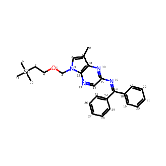 Cc1cn(COCC[Si](C)(C)C)c2ncc(N=C(c3ccccc3)c3ccccc3)nc12